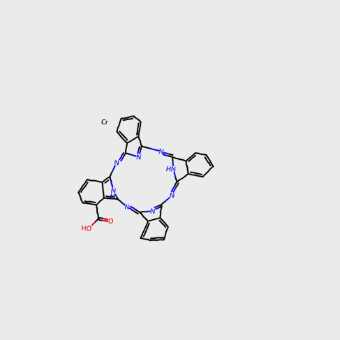 O=C(O)c1cccc2c3nc4nc(nc5[nH]c(nc6nc(nc([nH]3)c12)-c1ccccc1-6)c1ccccc51)-c1ccccc1-4.[Cr]